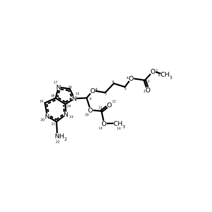 COC(=O)OCCCOC(OC(=O)OC)n1cnc2cnc(N)nc21